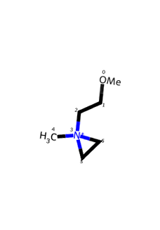 COCC[N+]1(C)CC1